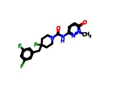 Cn1nc(NC(=O)N2CCC(F)(Cc3cc(F)cc(F)c3)CC2)ccc1=O